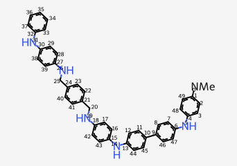 CNc1ccc(Nc2ccc(-c3ccc(Nc4ccc(NCc5ccc(CNc6ccc(Nc7ccccc7)cc6)cc5)cc4)cc3)cc2)cc1